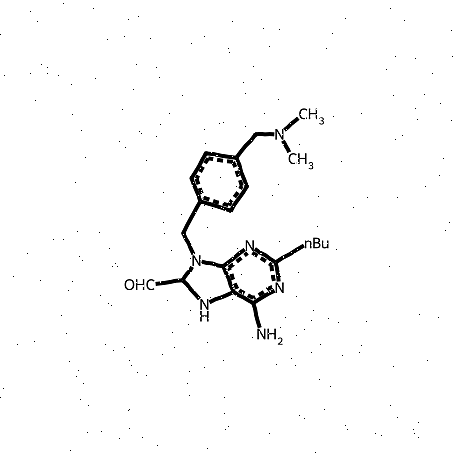 CCCCc1nc(N)c2c(n1)N(Cc1ccc(CN(C)C)cc1)C(C=O)N2